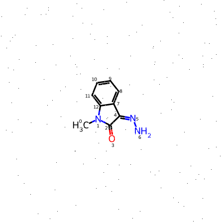 CN1C(=O)C(=NN)c2ccccc21